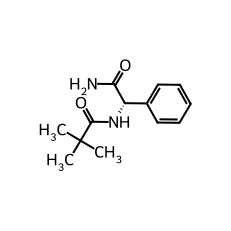 CC(C)(C)C(=O)N[C@H](C(N)=O)c1ccccc1